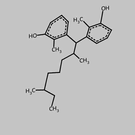 CCC(C)CCCC(C)C(c1cccc(O)c1C)c1cccc(O)c1C